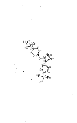 CS(=O)(=O)N1CCN(Cc2nnnn2-c2ccc(C(F)(F)F)cc2)CC1